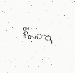 Oc1csc(OCCN2CCC(Cc3ccc(F)cc3)CC2)c1